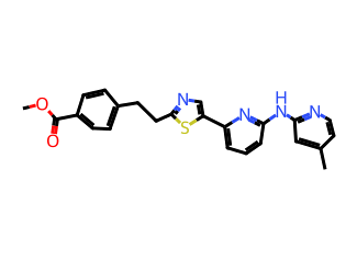 COC(=O)c1ccc(CCc2ncc(-c3cccc(Nc4cc(C)ccn4)n3)s2)cc1